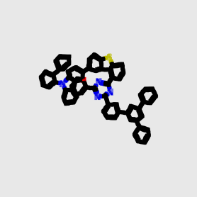 c1ccc(-c2cc(-c3ccccc3)cc(-c3cccc(-c4nc(-c5ccccc5)nc(-c5cccc6sc7ccc(-c8ccc9c(c8)c8ccccc8n9-c8ccccc8-c8ccccc8)cc7c56)n4)c3)c2)cc1